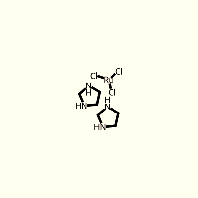 C1CNCN1.C1CNCN1.[Cl][Ru]([Cl])[Cl]